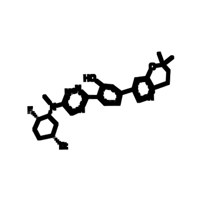 CC[C@@H]1CC[C@H](F)[C@H](N(C)c2cnc(-c3ccc(-c4cnc5c(c4)OC(C)(C)CC5)cc3O)nn2)C1